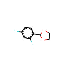 Fc1ccc(C2OCCO2)c(F)c1